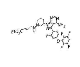 CCOC(=O)C=CCNN1CCCC(n2nc(-c3ccc(Oc4c(F)c(F)cc(F)c4F)cc3F)c3c(N)ncnc32)C1